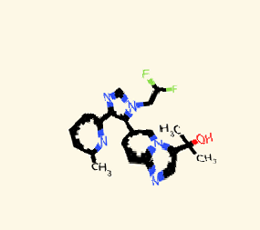 Cc1cccc(-c2ncn(CC(F)F)c2-c2ccc3ncc(C(C)(C)O)n3c2)n1